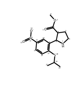 COC(=O)C1CCNC1c1cc([N+](=O)[O-])ccc1SC(C)C